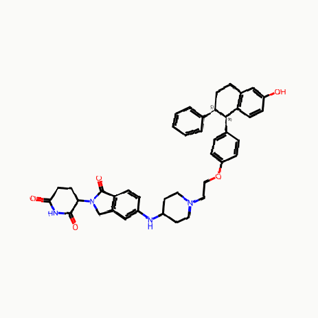 O=C1CCC(N2Cc3cc(NC4CCN(CCOc5ccc([C@@H]6c7ccc(O)cc7CC[C@@H]6c6ccccc6)cc5)CC4)ccc3C2=O)C(=O)N1